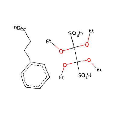 CCCCCCCCCCCCc1ccccc1.CCOC(OCC)(C(OCC)(OCC)S(=O)(=O)O)S(=O)(=O)O